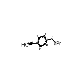 C#Cc1ccc(CC(C)C)cc1